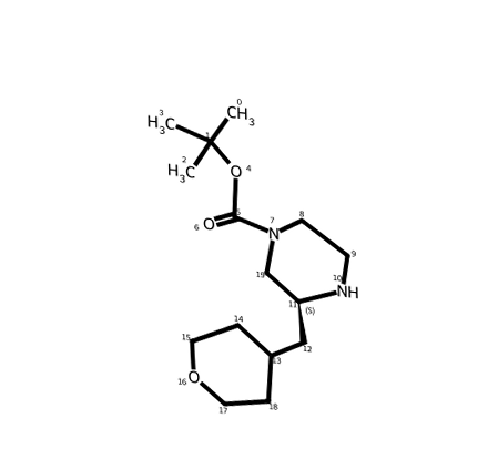 CC(C)(C)OC(=O)N1CCN[C@@H](CC2CCOCC2)C1